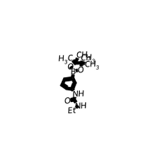 CCNC(=O)Nc1cccc(B2OC(C)(C)C(C)(C)O2)c1